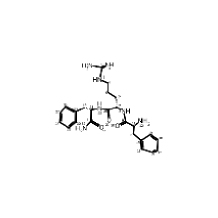 N=C(N)NCCC[C@H](NC(=O)[C@@H](N)Cc1ccccc1)C(=O)N[C@@H](Cc1ccccc1)C(N)=O